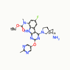 Cc1ncc(Oc2nc(N3CC[C@]4(C[C@@H]4N)C3)c3c(n2)[nH]c2c(N(C)C(=O)OC(C)(C)C)cc(F)cc23)cn1